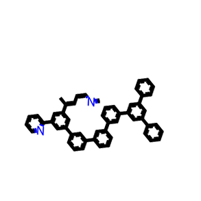 C=N/C=C\C=C(/C)c1cc(-c2cccc(-c3cccc(-c4cccc(-c5cc(-c6ccccc6)cc(-c6ccccc6)c5)c4)c3)c2)cc(-c2ccccn2)c1